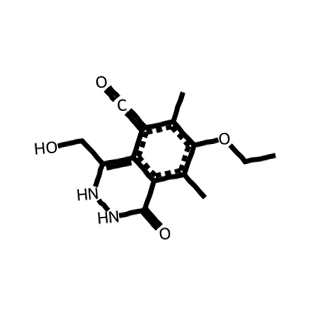 CCOc1c(C)c2c(c(=C=O)c1C)=C(CO)NNC2=O